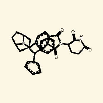 O=C1CCC(N2C(=O)c3ccc(CN4C5CCC4CN(C(c4ccccc4)c4ccccc4)C5)cc3C2=O)C(=O)N1